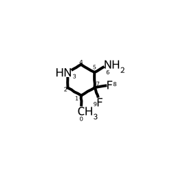 CC1CNCC(N)C1(F)F